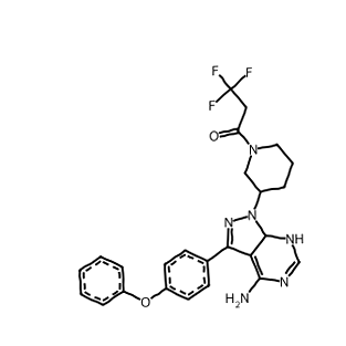 NC1=C2C(c3ccc(Oc4ccccc4)cc3)=NN(C3CCCN(C(=O)CC(F)(F)F)C3)C2NC=N1